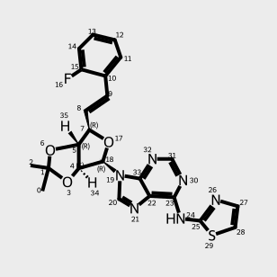 CC1(C)O[C@H]2[C@H](O1)[C@@H](C=Cc1ccccc1F)O[C@H]2n1cnc2c(Nc3nccs3)ncnc21